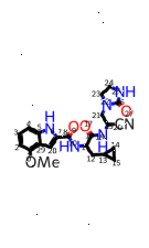 COc1cccc2[nH]c(C(=O)NC(CC3CC3)C(=O)NC(C#N)CN3CCNC3=O)cc12